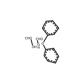 O=CO.O=CO.c1ccc(Oc2ccccc2)cc1